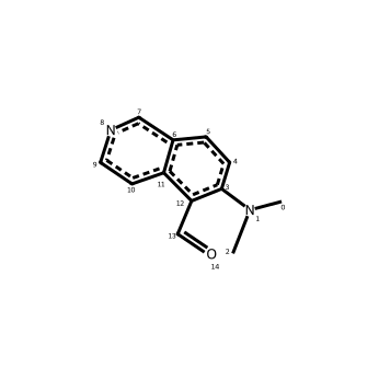 CN(C)c1ccc2cnccc2c1C=O